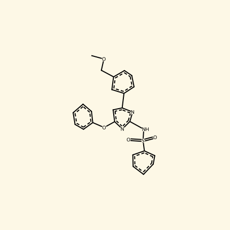 COCc1cccc(-c2cc(Oc3ccccc3)nc(NS(=O)(=O)c3ccccc3)n2)c1